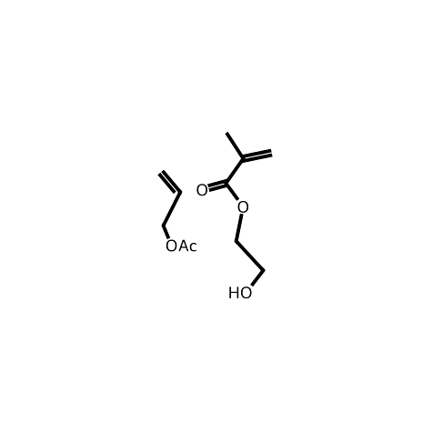 C=C(C)C(=O)OCCO.C=CCOC(C)=O